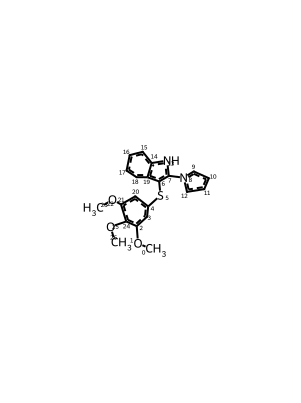 COc1cc(Sc2c(-n3cccc3)[nH]c3ccccc23)cc(OC)c1OC